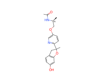 CC(=O)N[C@@H](C)COc1ccc(C2(C)Cc3ccc(O)cc3O2)nc1